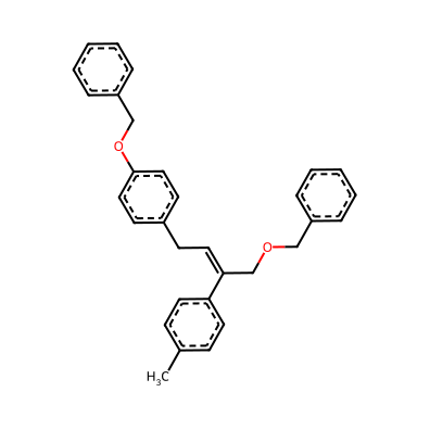 Cc1ccc(/C(=C\Cc2ccc(OCc3ccccc3)cc2)COCc2ccccc2)cc1